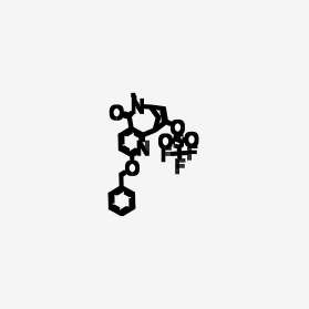 CN1C(=O)c2ccc(OCc3ccccc3)nc2C2CC1C=C2OS(=O)(=O)C(F)(F)F